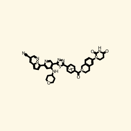 N#Cc1cnn2c(-c3cc(NC4CCOCC4)c(-c4nnc(C56CCC(C(=O)N7CCc8cc(N9CCC(=O)NC9=O)ccc8C7)(CC5)CC6)s4)cn3)ccc2c1